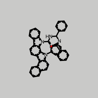 c1ccc(C2=NC(c3ccccc3)NC(n3c4ccccc4c4ccc5c6c7ccccc7ccc6n(-c6ccccc6)c5c43)=N2)cc1